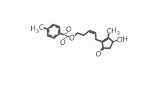 CC1=C(C/C=C\CCOS(=O)(=O)c2ccc(C)cc2)C(=O)C[C@@H]1O